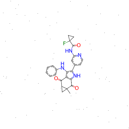 CC12CC1C(=O)c1c([nH]c(-c3ccnc(NC(=O)C4(F)CC4)c3)c1Nc1ccccc1)C2=O